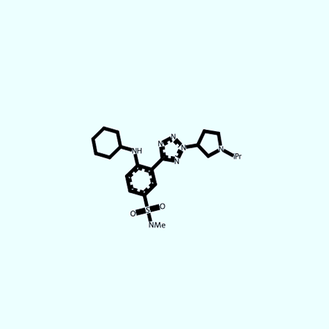 CNS(=O)(=O)c1ccc(NC2CCCCC2)c(-c2nnn(C3CCN(C(C)C)C3)n2)c1